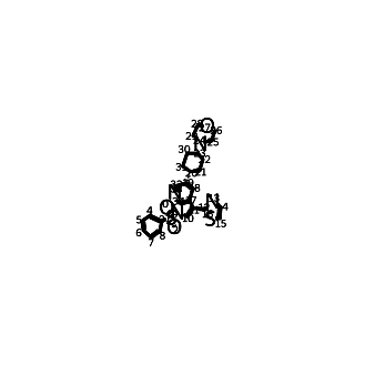 O=S(=O)(c1ccccc1)n1cc(-c2nccs2)c2cc([C@H]3CC[C@H](N4CCOCC4)CC3)cnc21